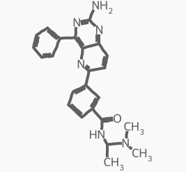 CC(NC(=O)c1cccc(-c2ccc3nc(N)nc(-c4ccccc4)c3n2)c1)N(C)C